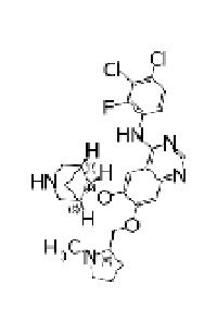 CN1CCC[C@@H]1COc1cc2ncnc(Nc3ccc(Cl)c(Cl)c3F)c2cc1O[C@@H]1[C@@H]2CNC[C@H]1C2